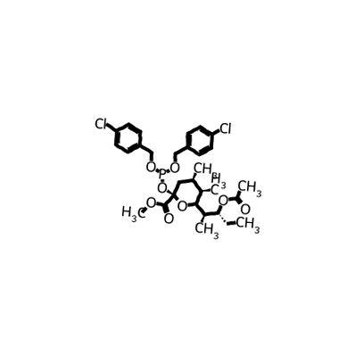 CC[C@@H](OC(C)=O)[C@@H](C)C1O[C@](OP(OCc2ccc(Cl)cc2)OCc2ccc(Cl)cc2)(C(=O)OC)C[C@@H](C)[C@H]1C